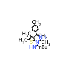 C=C(c1ccc(C)cc1)c1c(N(C(C)=N)C(=N)CCCC)sc(C)c1C